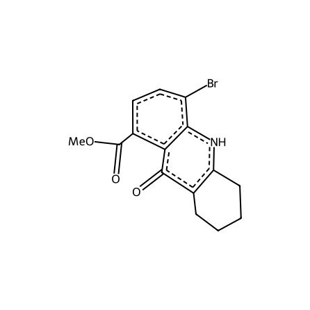 COC(=O)c1ccc(Br)c2[nH]c3c(c(=O)c12)CCCC3